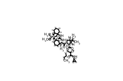 CCCC[C@H](NC(=O)[C@@H]1[C@@H]2[C@H](CN1C(=O)[C@@H](NC(=O)NC1(CS(=O)(=O)N(C)OC)CCCCC1)C1(C)CCCCC1)C2(C)C)C(=O)C(=O)NC1CC1